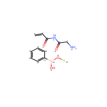 C=CC(=O)NC(=O)CN.OB(OF)c1ccccc1